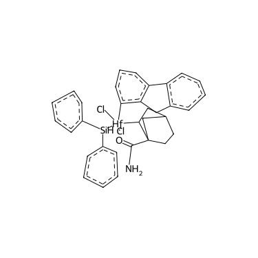 NC(=O)C12CCC(C[CH]1[Hf]([Cl])([Cl])([c]1cccc3c1Cc1ccccc1-3)[SiH](c1ccccc1)c1ccccc1)C2